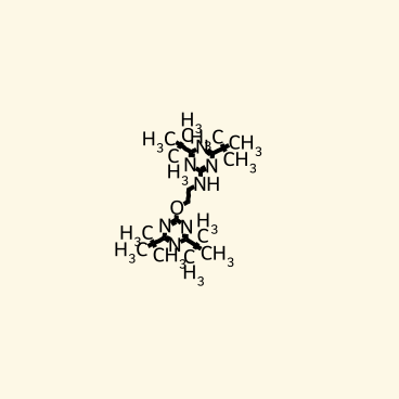 CC(C)(C)c1nc(NCCOc2nc(C(C)(C)C)nc(C(C)(C)C)n2)nc(C(C)(C)C)n1